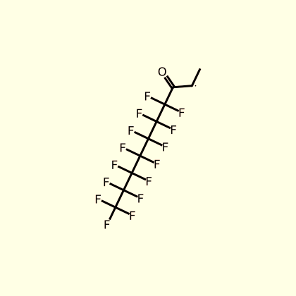 C[CH]C(=O)C(F)(F)C(F)(F)C(F)(F)C(F)(F)C(F)(F)C(F)(F)C(F)(F)F